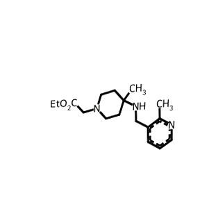 CCOC(=O)CN1CCC(C)(NCc2cccnc2C)CC1